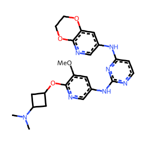 COc1cc(Nc2nccc(Nc3cnc4c(c3)OCCO4)n2)cnc1OC1CC(N(C)C)C1